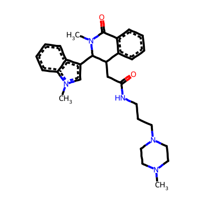 CN1CCN(CCCNC(=O)CC2c3ccccc3C(=O)N(C)C2c2cn(C)c3ccccc23)CC1